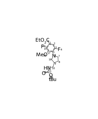 CCOC(=O)c1cc(F)c(N2CCC(CNC(=O)OC(C)(C)C)C2)c(OC)c1F